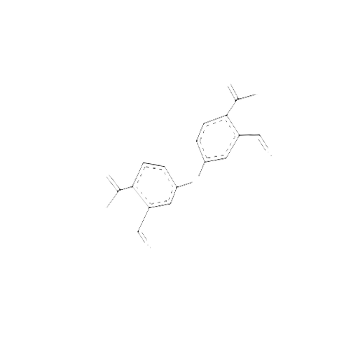 N=Cc1cc(Oc2ccc(C(=O)Cl)c(C=N)c2)ccc1C(=O)Cl